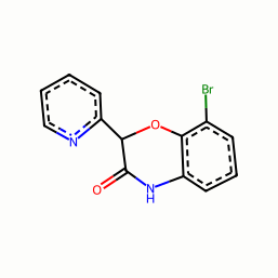 O=C1Nc2cccc(Br)c2OC1c1ccccn1